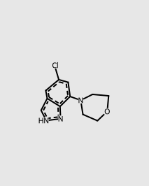 Clc1cc(N2CCOCC2)c2n[nH]cc2c1